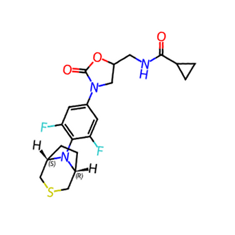 O=C(NCC1CN(c2cc(F)c(N3[C@@H]4CC[C@H]3CSC4)c(F)c2)C(=O)O1)C1CC1